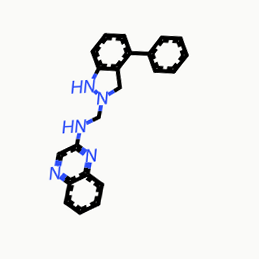 c1ccc(-c2cccc3c2CN(CNc2cnc4ccccc4n2)N3)cc1